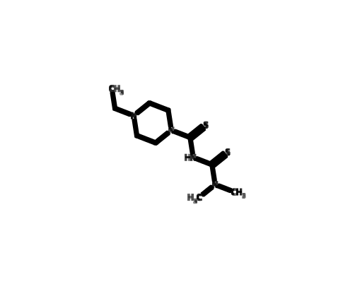 CCN1CCN(C(=S)NC(=S)N(C)C)CC1